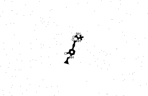 CC(C)(C)C(NC(=O)C#Cc1ccc(NCC2CC2)c(Cl)c1)C(N)=O